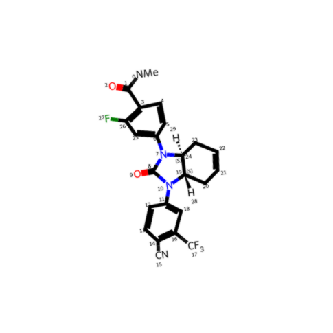 CNC(=O)c1ccc(N2C(=O)N(c3ccc(C#N)c(C(F)(F)F)c3)[C@H]3CC=CC[C@@H]32)cc1F